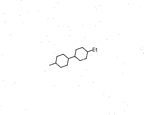 CCC1CC[C](C2CCC(C)CC2)CC1